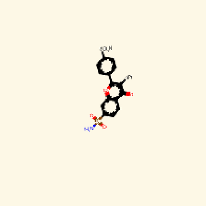 CCCc1c(-c2ccc(C(=O)O)cc2)oc2cc(S(N)(=O)=O)ccc2c1=O